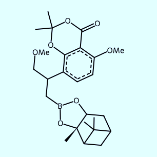 COCC(CB1OC2CC3CC(C3(C)C)[C@]2(C)O1)c1ccc(OC)c2c1OC(C)(C)OC2=O